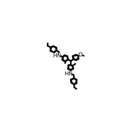 CCc1ccc(CNc2ccc(C(c3ccc(OC)cc3)c3ccc(NCc4ccc(CC)cc4)cc3C)c(C)c2)cc1